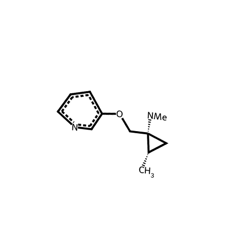 CN[C@]1(COc2cccnc2)C[C@@H]1C